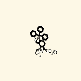 CCOC(=O)c1nn(CC(F)(F)F)c2c1CCc1c-2cnn1C(c1ccccc1)(c1ccccc1)c1ccccc1